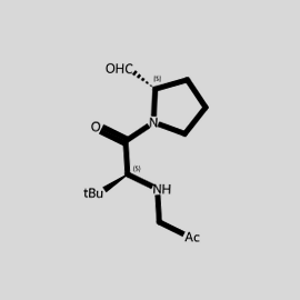 CC(=O)CN[C@H](C(=O)N1CCC[C@H]1C=O)C(C)(C)C